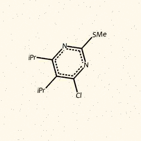 CSc1nc(Cl)c(C(C)C)c(C(C)C)n1